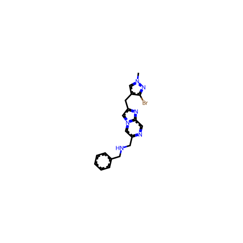 Cn1cc(Cc2cn3cc(CNCc4ccccc4)ncc3n2)c(Br)n1